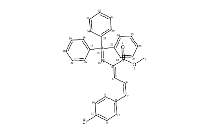 COC(=O)/C(=C\C=C/c1ccc(Cl)cc1)N=P(c1ccccc1)(c1ccccc1)c1ccccc1